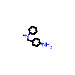 CN(Cc1ccc(N)cc1)c1ccccc1